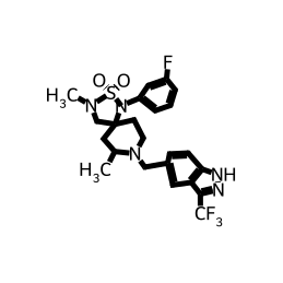 CC1CC2(CCN1Cc1ccc3[nH]nc(C(F)(F)F)c3c1)CN(C)S(=O)(=O)N2c1cccc(F)c1